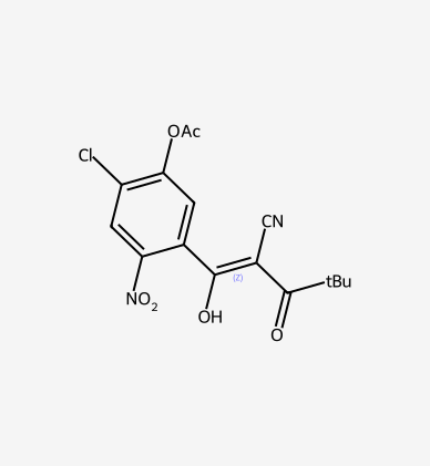 CC(=O)Oc1cc(/C(O)=C(\C#N)C(=O)C(C)(C)C)c([N+](=O)[O-])cc1Cl